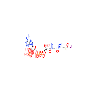 CC(C)(COP(=O)(O)OP(=O)(O)OC[C@H]1O[C@@H](n2cnc3c(N)ncnc32)[C@H](O)[C@@H]1OP(=O)(O)O)[C@@H](O)C(=O)NCCC(=O)NCCSC(=O)CI